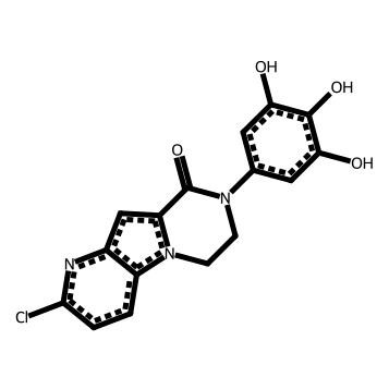 O=C1c2cc3nc(Cl)ccc3n2CCN1c1cc(O)c(O)c(O)c1